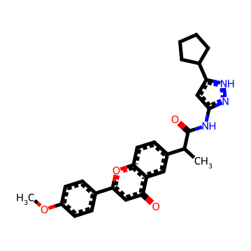 COc1ccc(-c2cc(=O)c3cc(C(C)C(=O)Nc4cc(C5CCCC5)[nH]n4)ccc3o2)cc1